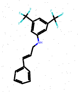 FC(F)(F)c1cc(NCC=Cc2ccccc2)cc(C(F)(F)F)c1